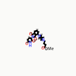 COC(=O)CCCN1CC2(C1)CN(c1cccc3c1C(=O)N(C1CCC(=O)NC1=O)C3=O)C2